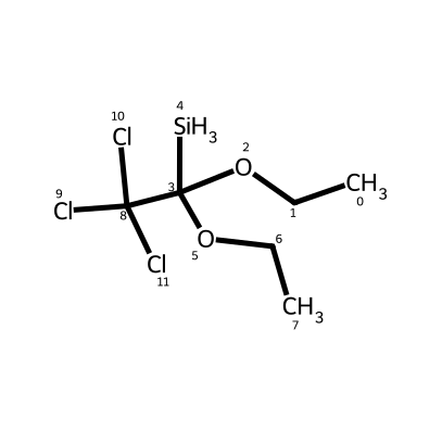 CCOC([SiH3])(OCC)C(Cl)(Cl)Cl